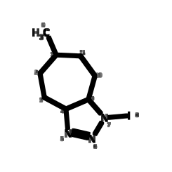 CC1CCC2N=NN(I)C2CC1